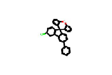 ClC1C=CC2=C(C1)c1cc(-c3ccccc3)ccc1C21c2ccccc2Oc2ccccc21